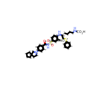 O=C(O)NCCCC[C@H](CSc1ccccc1)Nc1ccc(S(=O)(=O)NC(=O)c2ccc(N3CCC4(CCCC4)C3)cc2)cc1[N+](=O)[O-]